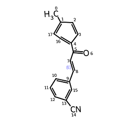 Cc1ccc(C(=O)/C=C/c2cccc(C#N)c2)cc1